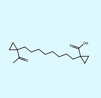 CC(=O)C1(CCCCCCCCC2(C(=O)O)CC2)CC1